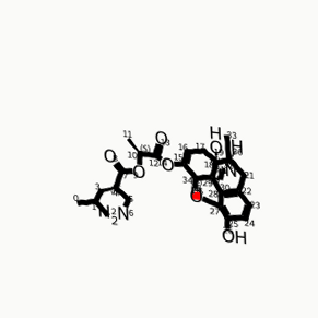 CC(C)C[C@H](CN)C(=O)O[C@@H](C)C(=O)OC1=CC[C@@]2(O)[C@H]3Cc4ccc(O)c5c4[C@@]2(CCN3C)[C@H]1O5